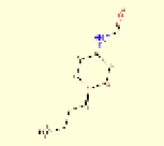 CCCC[C@H]1CC[C@H](NC=O)CC1